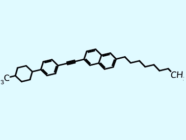 CCCCCCCCc1ccc2cc(C#Cc3ccc(C4CCC(C)CC4)cc3)ccc2c1